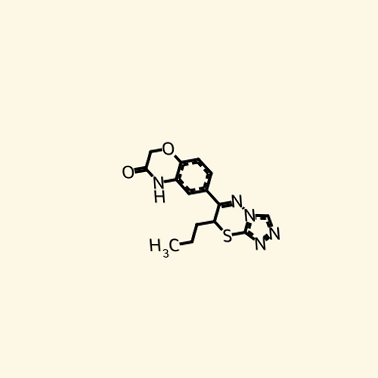 CCCC1Sc2nncn2N=C1c1ccc2c(c1)NC(=O)CO2